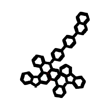 c1ccc(N(c2ccc(-c3ccc(-c4ccc5ccccc5c4)cc3)cc2)c2ccc(-c3ccccc3-n3c4ccccc4c4ccccc43)cc2)c(-c2cccc3sc4ccccc4c23)c1